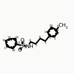 Cc1ccc(CCCCNS(=O)(=O)c2ccccc2)cc1